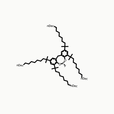 CCCCCCCCCCCCCCCCCC(C)(C)c1cc2c(c(C(C)(C)CCCCCCCCCCCCCCCCC)c1)OP(F)Oc1c(cc(C(C)(C)CCCCCCCCCCCCCCCCC)cc1C(C)(C)CCCCCCCCCCCCCCCCC)C2